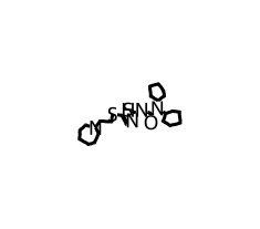 O=C(Nc1ncc(SCCN2CCCCCC2)s1)N(C1CCCCC1)C1CCCCC1